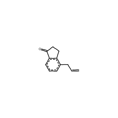 C=CCc1cccc2c1CCC2=O